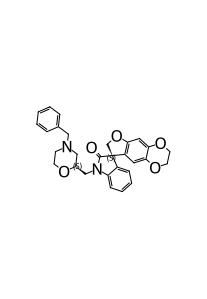 O=C1N(C[C@@H]2CN(Cc3ccccc3)CCO2)c2ccccc2[C@]12COc1cc3c(cc12)OCCO3